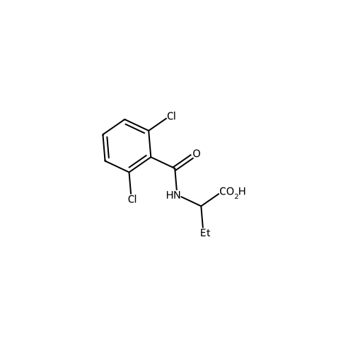 CCC(NC(=O)c1c(Cl)cccc1Cl)C(=O)O